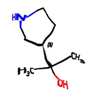 CC(C)(O)[C@H]1CCNC1